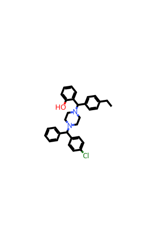 CCc1ccc(C(c2ccccc2O)N2CCN(C(c3ccccc3)c3ccc(Cl)cc3)CC2)cc1